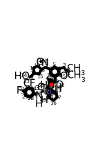 CC1(C)Cc2cc(C3=NOC4CC(CO)CC34)cc(C(=O)N[C@H]3[C@@H](C(=O)Nc4ccc(F)c(C(F)(F)F)c4)[C@H]4CC[C@@H]3/C4=C\C3CC3)c2O1